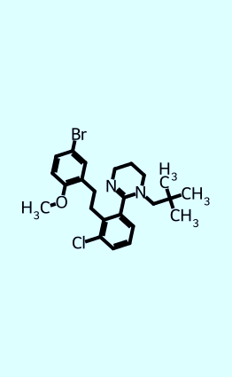 COc1ccc(Br)cc1CCc1c(Cl)cccc1C1=NCCCN1CC(C)(C)C